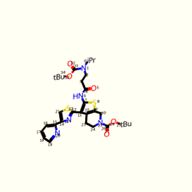 CC(C)N(CCC(=O)Nc1sc2c(c1-c1nc(-c3ccccn3)cs1)CCN(C(=O)OC(C)(C)C)C2)C(=O)OC(C)(C)C